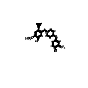 O=C(O)c1cc(C2CC2)c(CN2CCC(Oc3ccc(Cl)c(C(F)(F)F)c3)CC2)cc1F